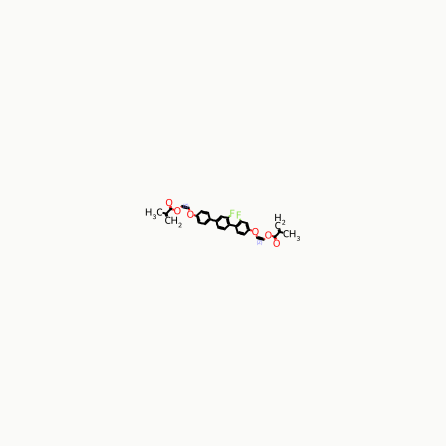 C=C(C)C(=O)O/C=C\Oc1ccc(-c2ccc(-c3ccc(O/C=C\OC(=O)C(=C)C)cc3F)c(F)c2)cc1